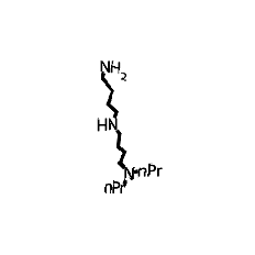 CCCN(CCC)CCCCNCCCCN